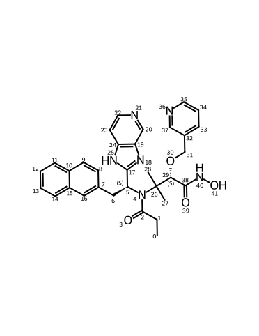 CCC(=O)N([C@@H](Cc1ccc2ccccc2c1)c1nc2cnccc2[nH]1)C(C)(C)[C@H](OCc1cccnc1)C(=O)NO